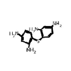 Nc1ccc(Sc2ccc(N)cc2N)c(N)c1